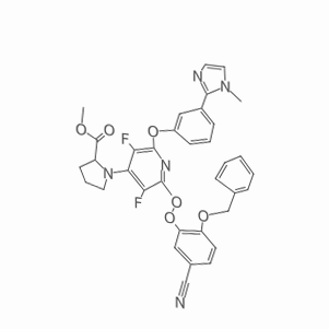 COC(=O)C1CCCN1c1c(F)c(OOc2cc(C#N)ccc2OCc2ccccc2)nc(Oc2cccc(-c3nccn3C)c2)c1F